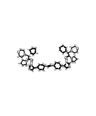 O=C([C@@H](c1ccccc1)N1CCOCC1)N1CCC[C@H]1c1ncc(-c2ccc(C#Cc3ccc(-c4cnc([C@@H]5CCCN5C(=O)[C@@H](c5ccccc5)N5CCOCC5)[nH]4)cc3)cc2)[nH]1